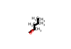 CC(C)CCCC(C)CCCC(C)CCCC(C)CCOCC1CO1